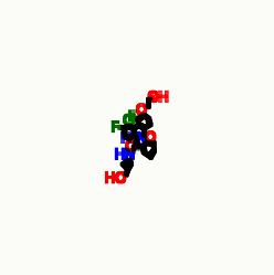 NC(=O)c1ccc(OCCO)c(F)c1-c1c(Cl)c(F)cc2c1C[C@@](CNC1CC(CO)C1)(c1ccccc1)O2